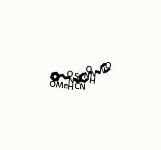 COc1cccc(CCC(=O)Nc2sc3c(c2C#N)CCN(C(=O)NCCN2CCOCC2)C3)c1